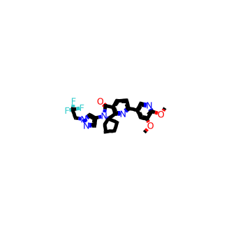 COc1cc(-c2ccc3c(n2)C2(CCCC2)N(c2cnn(CC(F)(F)F)c2)C3=O)cnc1OC